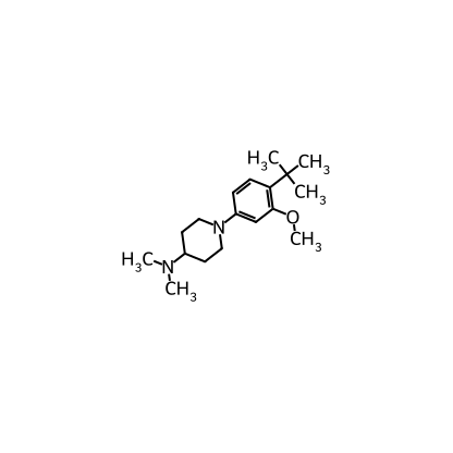 COc1cc(N2CCC(N(C)C)CC2)ccc1C(C)(C)C